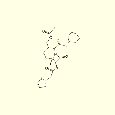 CC(=O)OCC1=C(C(=O)OC2CCCCC2)N2C(=O)[C@@H](NC(=O)Cc3cccs3)[C@@H]2SC1